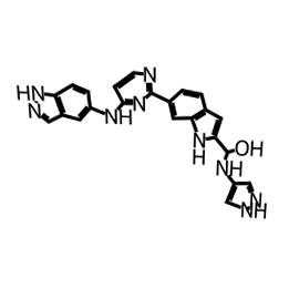 OC(Nc1cn[nH]c1)c1cc2ccc(-c3nccc(Nc4ccc5[nH]ncc5c4)n3)cc2[nH]1